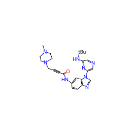 CN1CCN(CC#CC(=O)Nc2ccc3ncn(-c4cncc(NC(C)(C)C)n4)c3c2)CC1